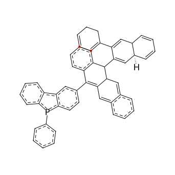 C1=CCCC(C2=CC3C=CC=C[C@H]3C=C2C2c3ccccc3C(c3ccc4c(c3)c3ccccc3p4-c3ccccc3)=C3C=c4ccccc4=CC32)=C1